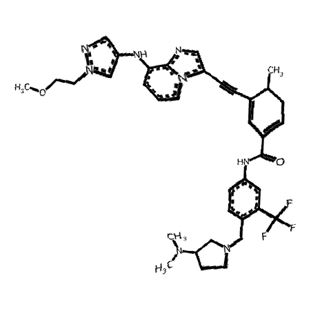 COCCn1cc(Nc2cccn3c(C#CC4=CC(C(=O)Nc5ccc(CN6CCC(N(C)C)C6)c(C(F)(F)F)c5)=CCC4C)cnc23)cn1